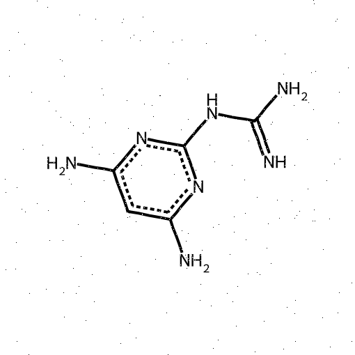 N=C(N)Nc1nc(N)cc(N)n1